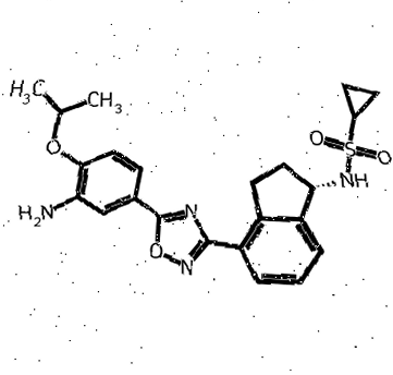 CC(C)Oc1ccc(-c2nc(-c3cccc4c3CC[C@@H]4NS(=O)(=O)C3CC3)no2)cc1N